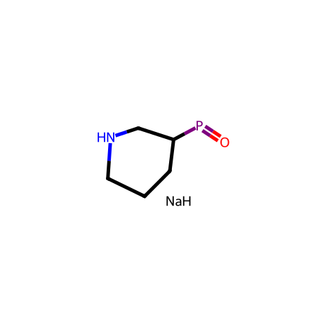 O=PC1CCCNC1.[NaH]